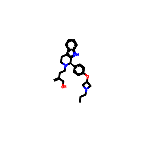 C=C(CO)CCN1CCc2c([nH]c3ccccc23)[C@H]1c1ccc(OC2CN(CCC)C2)cc1